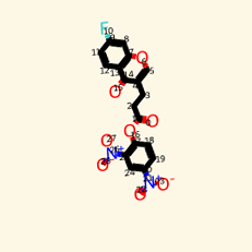 O=C(CCc1coc2cc(F)ccc2c1=O)Oc1ccc([N+](=O)[O-])cc1[N+](=O)[O-]